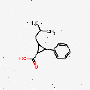 CC(C)CC1C(C(=O)O)C1c1ccccc1